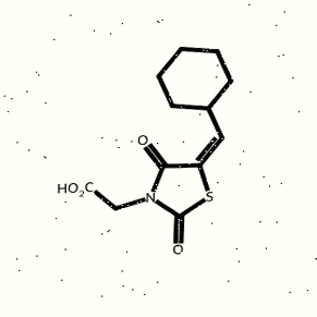 O=C(O)CN1C(=O)SC(=CC2CCCCC2)C1=O